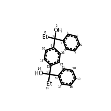 CCC(O)(c1ccccc1)c1ccc(C(O)(CC)c2ccccc2)cc1